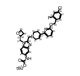 CC(C)(C)OC(=O)Nc1ccc2c(c1)nc(CN1CC=C(c3cccc(OCc4ccc(Cl)cc4F)n3)CC1)n2C[C@@H]1CCO1